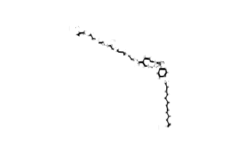 O=C(O)CCCCCCCCCCCOc1ccc(S(=O)(=O)Nc2ccc(C(=O)NCCOCCOCC(=O)NCCOCCOCC(=O)O)cn2)cc1